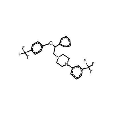 FC(F)(F)c1ccc(OC(CN2CCN(c3cccc(C(F)(F)F)c3)CC2)c2ccccc2)cc1